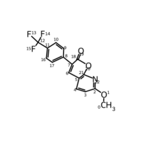 COc1ccc2cc(-c3ccc(C(F)(F)F)cc3)c(=O)oc2n1